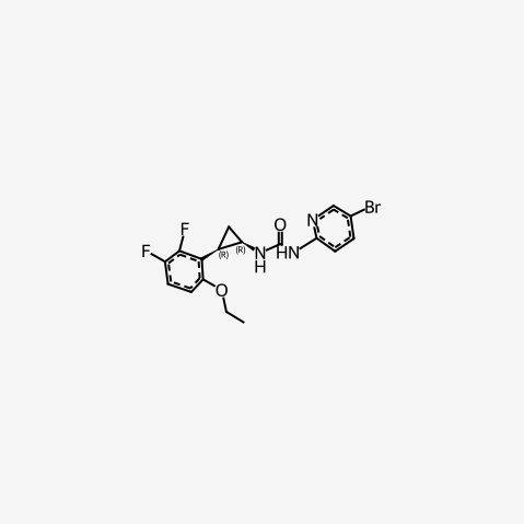 CCOc1ccc(F)c(F)c1[C@H]1C[C@H]1NC(=O)Nc1ccc(Br)cn1